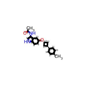 CC(=O)Nc1c[nH]c2ccc(O[C@H]3C[C@H](c4ccc(C)cc4)C3)cc12